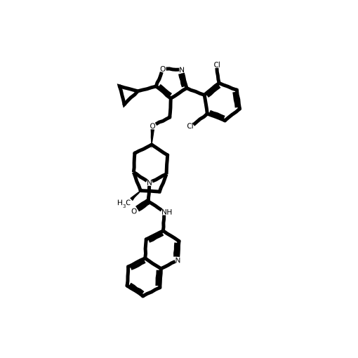 C[C@@H]1CC2C[C@H](OCc3c(-c4c(Cl)cccc4Cl)noc3C3CC3)CC1N2C(=O)Nc1cnc2ccccc2c1